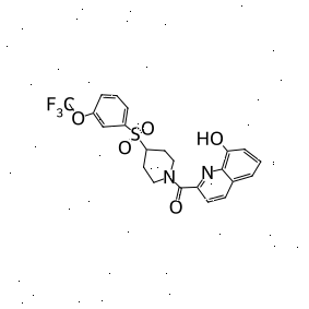 O=C(c1ccc2cccc(O)c2n1)N1CCC(S(=O)(=O)c2cccc(OC(F)(F)F)c2)CC1